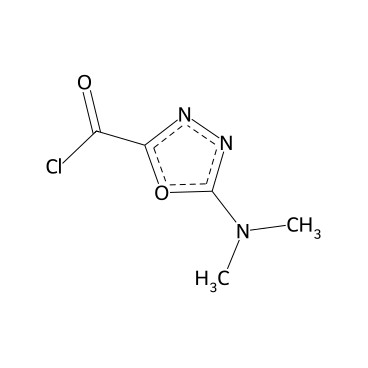 CN(C)c1nnc(C(=O)Cl)o1